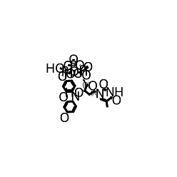 Cc1cn([C@H]2CC(O)[C@@H](COP(=O)(O)OP(=O)(O)OP(=O)(O)Oc3ccc4nc5ccc(=O)cc-5oc4c3)O2)c(=O)[nH]c1=O